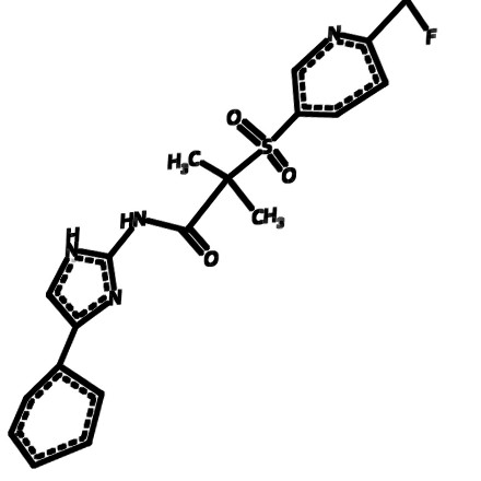 CC(C)(C(=O)Nc1nc(-c2ccccc2)c[nH]1)S(=O)(=O)c1ccc(C(F)(F)F)nc1